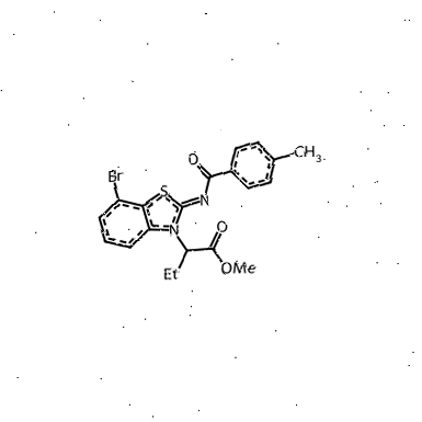 CCC(C(=O)OC)n1/c(=N/C(=O)c2ccc(C)cc2)sc2c(Br)cccc21